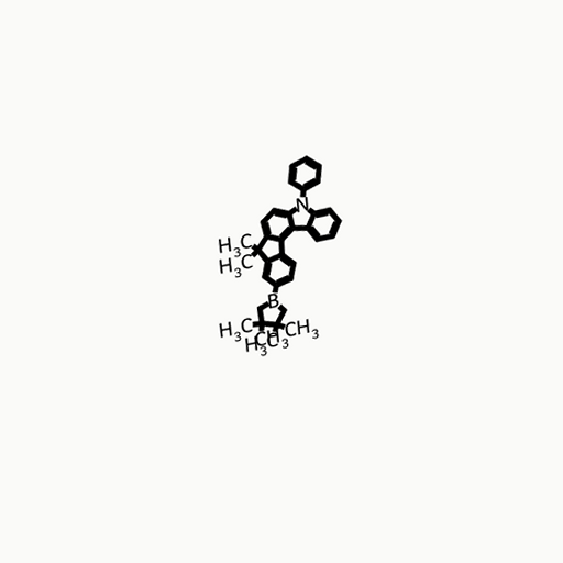 CC1(C)c2cc(B3CC(C)(C)C(C)(C)C3)ccc2-c2c1ccc1c2c2ccccc2n1-c1ccccc1